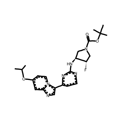 CC(C)Oc1ccn2c(-c3ccnc(N[C@H]4CN(C(=O)OC(C)(C)C)C[C@@H]4F)n3)cnc2c1